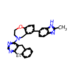 CCc1ncnc(N2CCOc3ccc(-c4ccc5nc(C)[nH]c5c4)cc3C2)c1Cc1ccccc1